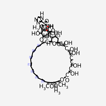 C[C@@H]1[C@H](O)[C@@H](C)/C=C/C=C/C=C/C=C/C=C/C=C/C=C/[C@H](O[C@@H]2O[C@H](C)[C@@H](O)[C@H](N)[C@@H]2O)C[C@@H]2O[C@](O)(C[C@@H](O)C[C@@H](O)[C@H](O)CC[C@@H](O)C[C@@H](O)CC(=O)O[C@H]1C)C[C@H](O)[C@H]2NC(=O)NNS(=O)(=O)c1nnc[nH]1